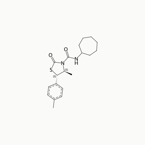 Cc1ccc([C@@H]2SC(=O)N(C(=O)NC3CCCCCC3)[C@H]2C)cc1